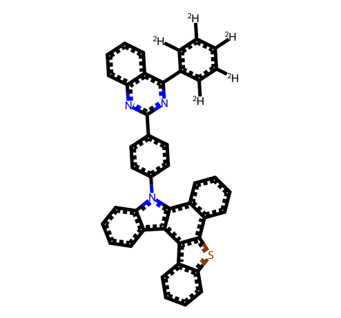 [2H]c1c([2H])c([2H])c(-c2nc(-c3ccc(-n4c5ccccc5c5c6c7ccccc7sc6c6ccccc6c54)cc3)nc3ccccc23)c([2H])c1[2H]